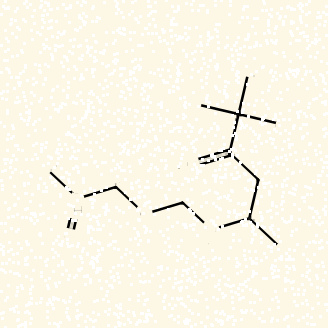 CC(CC(=O)C(C)(C)C)OCOC[PH](C)=O